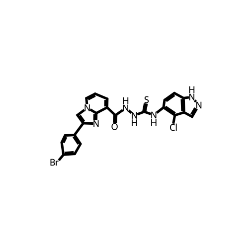 O=C(NNC(=S)Nc1ccc2[nH]ncc2c1Cl)c1cccn2cc(-c3ccc(Br)cc3)nc12